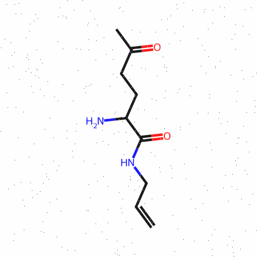 C=CCNC(=O)C(N)CCC(C)=O